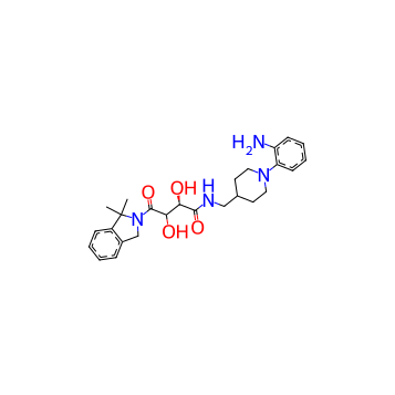 CC1(C)c2ccccc2CN1C(=O)C(O)[C@@H](O)C(=O)NCC1CCN(c2ccccc2N)CC1